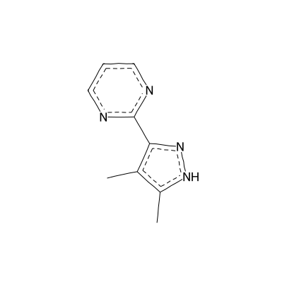 Cc1[nH]nc(-c2ncccn2)c1C